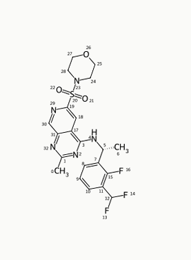 Cc1nc(N[C@H](C)c2cccc(C(F)F)c2F)c2cc(S(=O)(=O)N3CCOCC3)ncc2n1